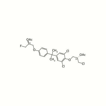 CC(=O)O[C@H](CF)COc1ccc(C(C)(C)c2cc(Cl)c(OC[C@@H](CCl)OC(C)=O)c(Cl)c2)cc1